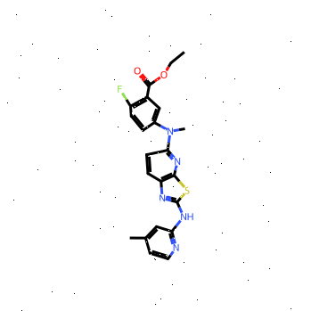 CCOC(=O)c1cc(N(C)c2ccc3nc(Nc4cc(C)ccn4)sc3n2)ccc1F